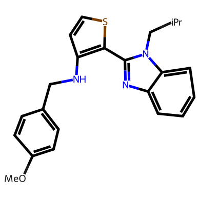 COc1ccc(CNc2ccsc2-c2nc3ccccc3n2CC(C)C)cc1